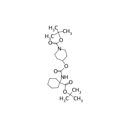 CC(C)(C)OC(=O)N1CCC(OC(=O)NC2(C(=O)OC(C)(C)C)CCCCC2)CC1